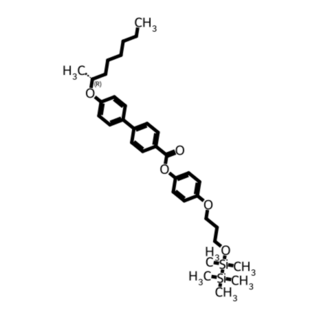 CCCCCC[C@@H](C)Oc1ccc(-c2ccc(C(=O)Oc3ccc(OCCCO[Si](C)(C)[Si](C)(C)C)cc3)cc2)cc1